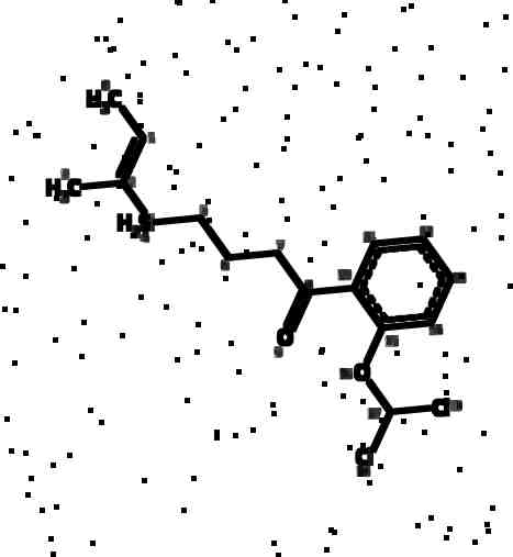 CC=C(C)[SiH2]CCCC(=O)c1ccccc1OC(Cl)Cl